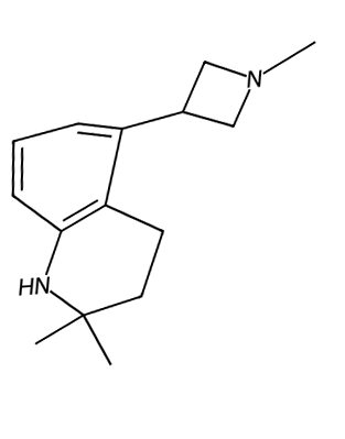 CN1CC(c2cccc3c2CCC(C)(C)N3)C1